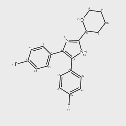 Fc1ccc(-c2nc(C3CCCCO3)[nH]c2-c2ccc(F)cc2)cc1